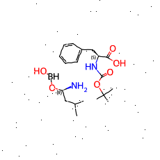 CC(C)(C)OC(=O)N[C@@H](Cc1ccccc1)C(=O)O.CC(C)C[C@H](N)OBO